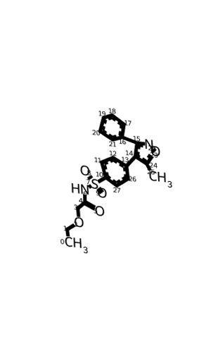 CCOCC(=O)NS(=O)(=O)c1ccc(-c2c(-c3ccccc3)noc2C)cc1